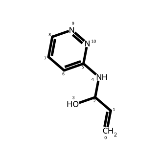 C=CC(O)Nc1cccnn1